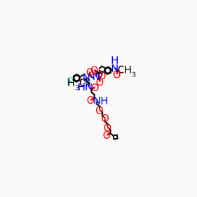 CC(=O)Nc1ccc2c(c1)CC[C@@]21OC(=O)N(CC(=O)N(Cc2ccc(F)cc2)[C@@H](C)CNC(=O)CCC(=O)NCCOCCOCCOCC(=O)C2CCC2)C1=O